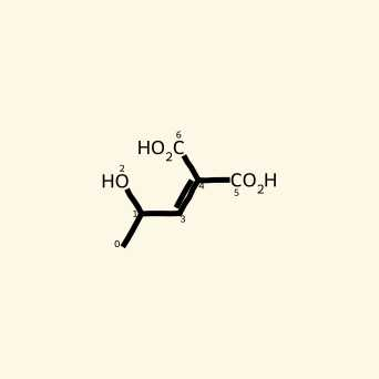 CC(O)C=C(C(=O)O)C(=O)O